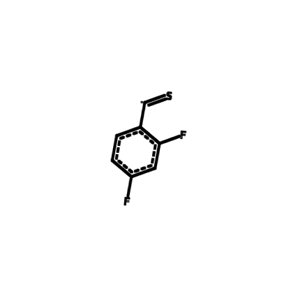 Fc1ccc([C]=S)c(F)c1